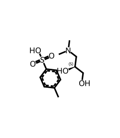 CN(C)C[C@H](O)CO.Cc1ccc(S(=O)(=O)O)cc1